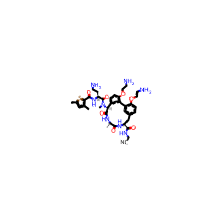 Cc1cc(C)c(C(=O)N[C@@H](CCN)C(=O)N(C)[C@@H]2C(=O)N[C@@H](C)C(=O)N[C@H](C(=O)NCC#N)Cc3ccc(OCCN)c(c3)-c3cc2ccc3OCCN)s1